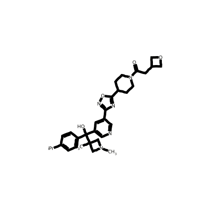 CC(C)c1ccc(C(O)(c2cncc(-c3noc(C4CCN(C(=O)CC5COC5)CC4)n3)c2)C2(C)CN(C)C2)cc1